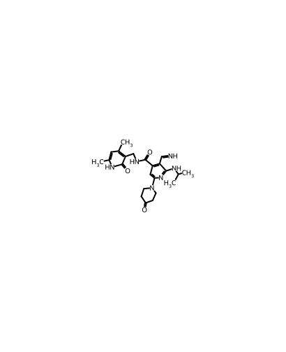 Cc1cc(C)c(CNC(=O)c2cc(N3CCC(=O)CC3)nc(NC(C)C)c2C=N)c(=O)[nH]1